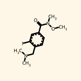 CON(C)C(=O)c1ccc(CN(C)C)c(I)c1